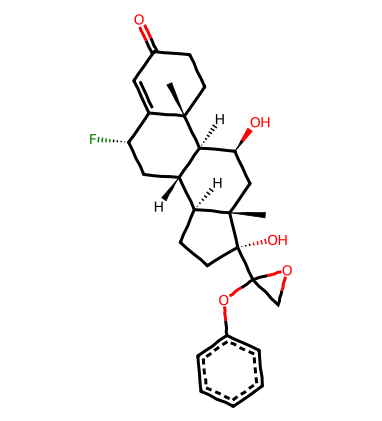 C[C@]12CCC(=O)C=C1[C@@H](F)C[C@@H]1[C@@H]2[C@@H](O)C[C@@]2(C)[C@H]1CC[C@]2(O)C1(Oc2ccccc2)CO1